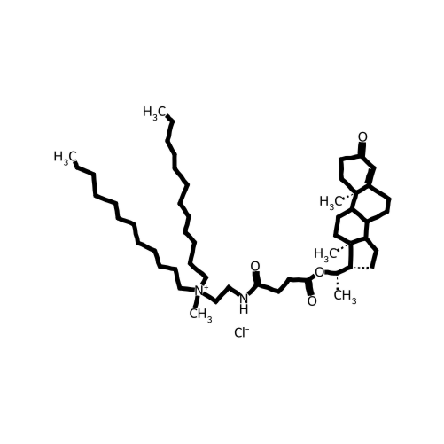 CCCCCCCCCCCC[N+](C)(CCCCCCCCCCCC)CCNC(=O)CCC(=O)O[C@@H](C)[C@H]1CCC2C3CCC4=CC(=O)CC[C@]4(C)C3CC[C@@]21C.[Cl-]